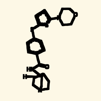 O=C(N[C@H]1CN2CCC1CC2)c1ccc(Sc2ccc(N3CCOCC3)s2)cc1